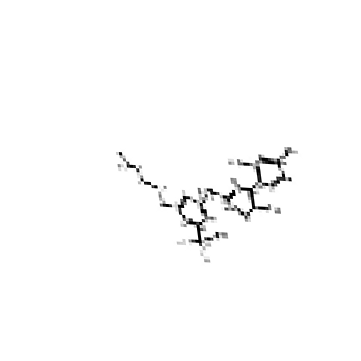 COCCSCc1cc(Nc2ncc(F)c(-c3ccc(F)cc3F)n2)cc(C(F)(F)F)c1